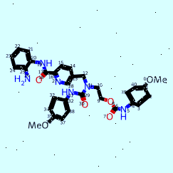 COc1ccc(NC(=O)OCCN(Cc2ccc(C(=O)Nc3ccccc3N)nc2)C(=O)Nc2ccc(OC)cc2)cc1